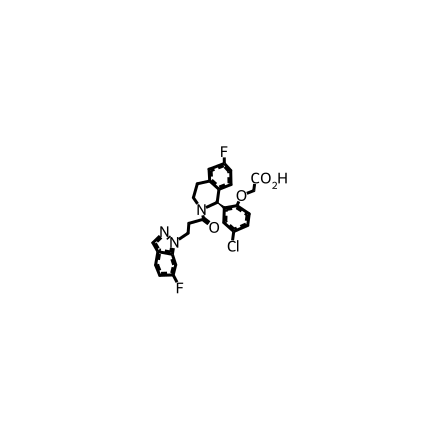 O=C(O)COc1ccc(Cl)cc1[C@@H]1c2ccc(F)cc2CCN1C(=O)CCn1ncc2ccc(F)cc21